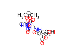 Cc1cccc(C)c1C(=O)OCC(=O)[C@H](CCCCNC(=O)c1ccc(-c2c3ccc(=O)cc-3oc3cc(O)ccc23)c(C(=O)O)c1)NC(=O)[C@H](CC1CCCCC1)NC(=O)N1CCOCC1